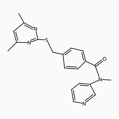 Cc1cc(C)nc(SCc2ccc(C(=O)N(C)c3cccnc3)cc2)n1